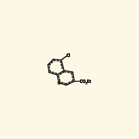 CCOC(=O)c1cnc2cccc(Cl)c2c1